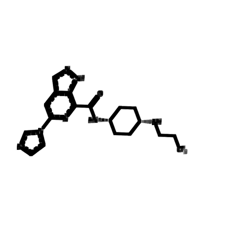 O=C(N[C@H]1CC[C@@H](NCCC(F)(F)F)CC1)c1nc(-n2ccnc2)cc2cn[nH]c12